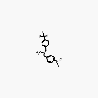 CN(Cc1ccc([N+](=O)[O-])cc1)Cc1ccc(C(F)(F)F)cc1